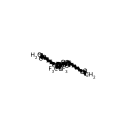 C=CC(=O)OCCCCCCCC1COC(C(=O)Oc2ccc(OCCCCCCOC(=O)C=C)c(C(F)(F)F)c2C(F)(F)F)OC1